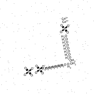 O.O.O.O.O.O.O.O.O.O.O.O.O.O.O.O.O.O.O=S(=O)([O-])[O-].O=S(=O)([O-])[O-].O=S(=O)([O-])[O-].[Ga+3].[Ga+3]